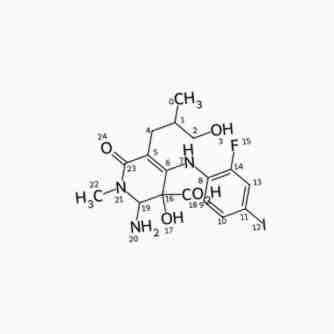 CC(CO)CC1=C(Nc2ccc(I)cc2F)C(O)(C(=O)O)C(N)N(C)C1=O